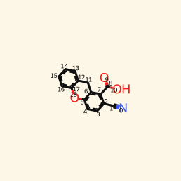 N#Cc1ccc2c(c1C(=O)O)Cc1ccccc1O2